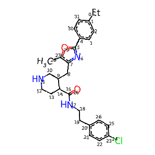 CCc1ccc(-c2nc(CC3CNCCC3C(=O)NCCc3ccc(Cl)cc3)c(C)o2)cc1